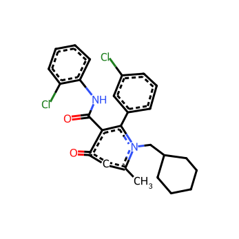 Cc1cc(=O)c(C(=O)Nc2ccccc2Cl)c(-c2cccc(Cl)c2)n1CC1CCCCC1